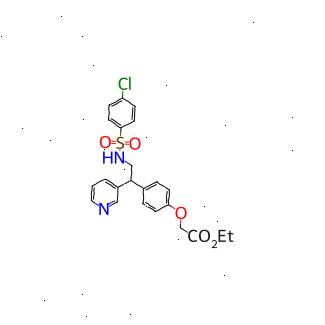 CCOC(=O)COc1ccc(C(CNS(=O)(=O)c2ccc(Cl)cc2)c2cccnc2)cc1